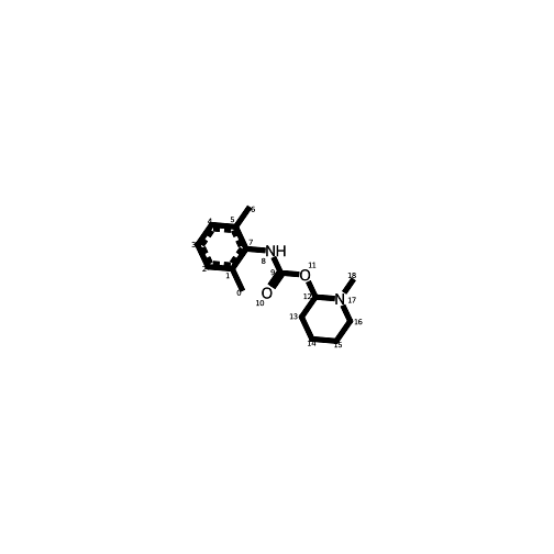 Cc1cccc(C)c1NC(=O)OC1CCCCN1C